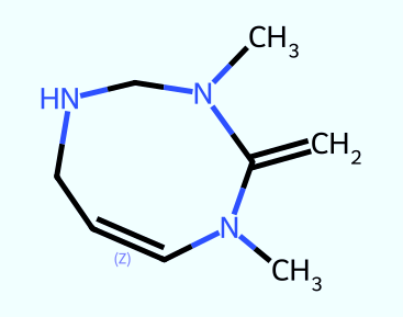 C=C1N(C)/C=C\CNCN1C